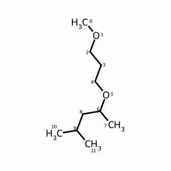 COCCCOC(C)CC(C)C